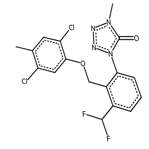 Cc1cc(Cl)c(OCc2c(C(F)F)cccc2-n2nnn(C)c2=O)cc1Cl